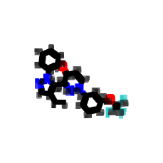 CCc1cnn(-c2ccccc2)c1-c1nn(-c2cccc(OC(F)(F)F)c2)ccc1=O